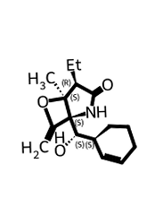 C=C1O[C@@]2(C)[C@@H](CC)C(=O)N[C@@]12[C@@H](O)[C@@H]1C=CCCC1